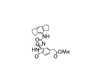 COC(=O)Cc1ccc2c(c1)S(=O)(=NC(=O)Nc1c3c(cc4c1CCC4)CCC3)NC2=O